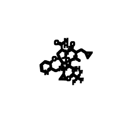 CN(C(=O)C(CC1CC1)NC(=O)C(F)(F)F)C(CC1CC1)C(=O)N1C[C@@]2(C[C@H]1C(N)=O)Oc1cccnc1CNC2=O